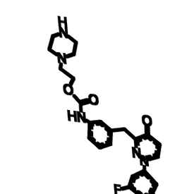 O=C(Nc1cccc(Cc2nn(-c3cc(F)cc(F)c3)ccc2=O)c1)OCCN1CCNCC1